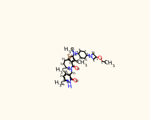 CCOC1CN(C2CCC(N(C)c3sc4c(c3C)C(=O)N(Cc3c(C)cc(C)[nH]c3=O)CCC4)CC2)C1